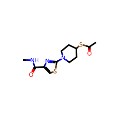 CNC(=O)c1csc(N2CCC(SC(C)=O)CC2)n1